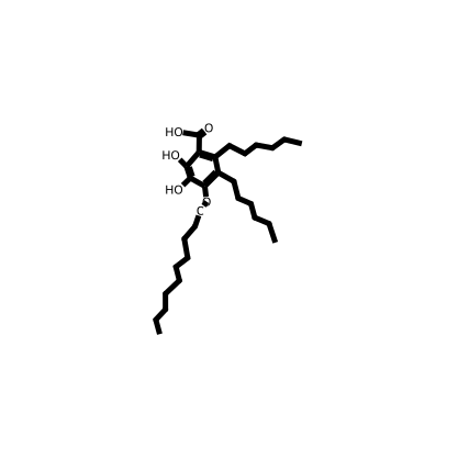 CCCCCCCCCCOc1c(O)c(O)c(C(=O)O)c(CCCCCC)c1CCCCCC